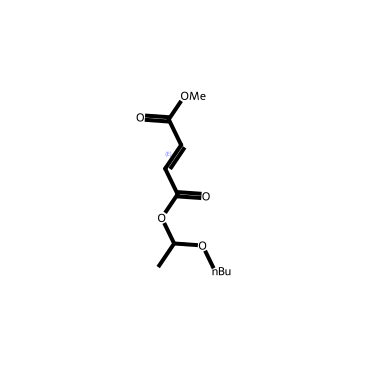 CCCCOC(C)OC(=O)/C=C/C(=O)OC